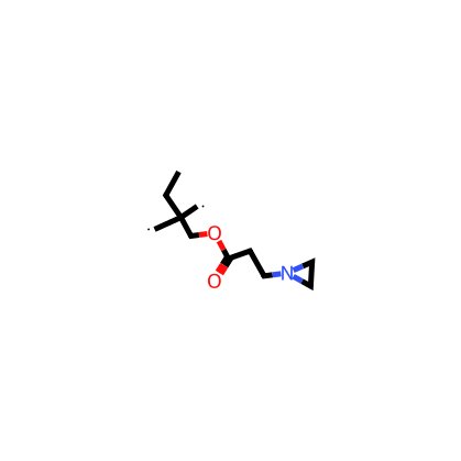 [CH2]C([CH2])(CC)COC(=O)CCN1CC1